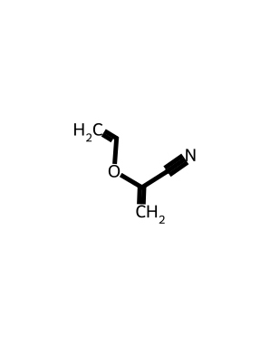 C=COC(=C)C#N